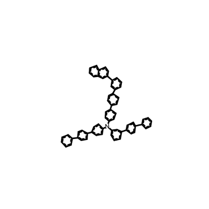 c1ccc(-c2ccc(-c3ccc(N(c4ccc(-c5ccc(-c6cccc(-c7ccc8ccccc8c7)c6)cc5)cc4)c4cccc(-c5ccc(-c6ccccc6)cc5)c4)cc3)cc2)cc1